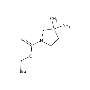 CC(C)(C)COC(=O)N1CCC(C)(N)C1